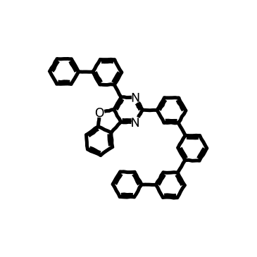 c1ccc(-c2cccc(-c3cccc(-c4cccc(-c5nc(-c6cccc(-c7ccccc7)c6)c6oc7ccccc7c6n5)c4)c3)c2)cc1